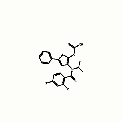 CC(C)N(C(=S)c1ccc(Cl)cc1Cl)c1cc(-c2ccccc2)sc1OC(=O)O